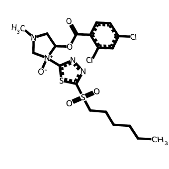 CCCCCCS(=O)(=O)c1nnc([N+]2([O-])CN(C)CC2OC(=O)c2ccc(Cl)cc2Cl)s1